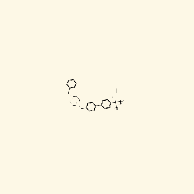 OC(c1ccc(-c2ccc(CN3CCN(Cc4ccccc4)CC3)cc2)cc1)(C(F)(F)F)C(F)(F)F